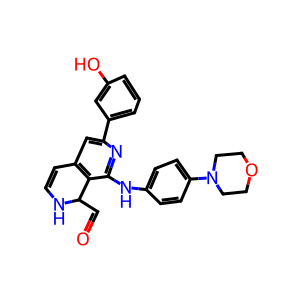 O=CC1NC=Cc2cc(-c3cccc(O)c3)nc(Nc3ccc(N4CCOCC4)cc3)c21